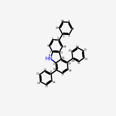 c1ccc(-c2ccc3[nH]c4c(-c5ccccc5)ccc(-c5ccccc5)c4c3c2)cc1